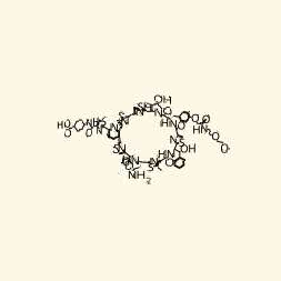 COCCOCCNC(=O)COc1ccc(C[C@@H]2NC(=O)c3csc(n3)[C@H]([C@H](O)c3ccccc3)NC(=O)c3nc(sc3C)[C@H](CC(N)=O)NC(=O)c3csc(n3)-c3ccc(-c4nc(C(=O)NC5CCC(C(=O)O)CC5)cs4)nc3-c3csc(n3)-c3csc(n3)[C@@H]3[C@@H](C)[C@@H](O)CN3C2=O)cc1